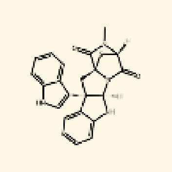 CN1C(=O)[C@@]23C[C@]4(c5c[nH]c6ccccc56)c5ccccc5N[C@@H]4N2C(=O)[C@@H]1S3